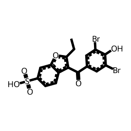 CCc1oc2cc(S(=O)(=O)O)ccc2c1C(=O)c1cc(Br)c(O)c(Br)c1